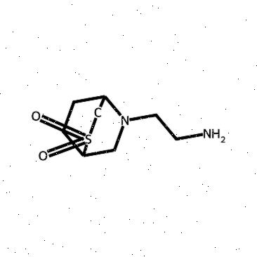 NCCN1CC2CCC1CS2(=O)=O